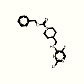 O=C(OCc1ccccc1)N1CCC(CNc2nc(Cl)ncc2F)CC1